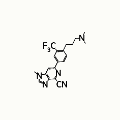 CN(C)CCCc1ccc(-c2cc3c(ncn3C)c(C#N)n2)cc1C(F)(F)F